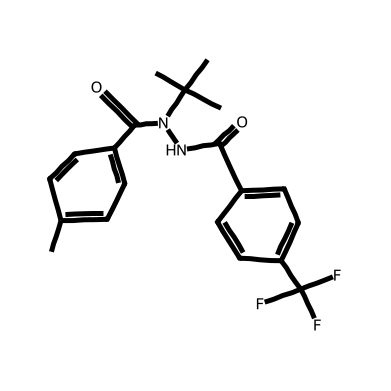 Cc1ccc(C(=O)N(NC(=O)c2ccc(C(F)(F)F)cc2)C(C)(C)C)cc1